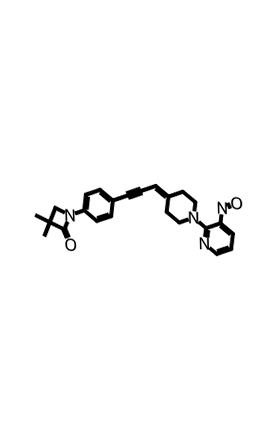 CC1(C)CN(c2ccc(C#CC=C3CCN(c4ncccc4N=O)CC3)cc2)C1=O